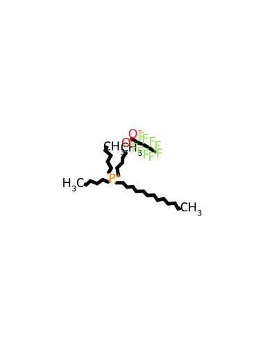 CCCCCCCCCCCCCC[P+](CCCCCC)(CCCCCC)CCCCCC.O=C([O-])C(F)(F)C(F)(F)C(F)(F)C(F)(F)F